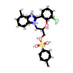 Cc1ccc(S(=O)(=O)OCC2Cn3c(nc4c(C)cccc43)-c3cccc(Cl)c3O2)cc1